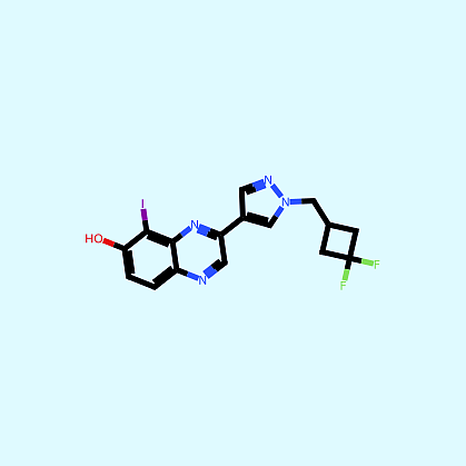 Oc1ccc2ncc(-c3cnn(CC4CC(F)(F)C4)c3)nc2c1I